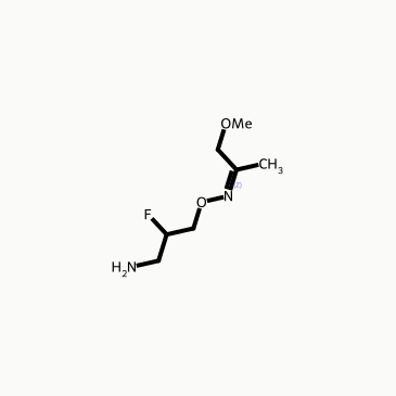 COC/C(C)=N\OCC(F)CN